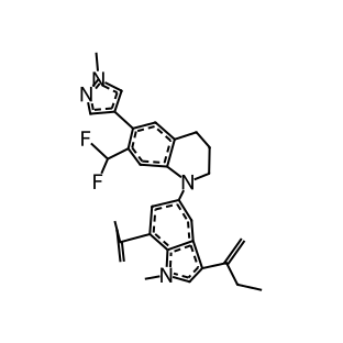 C=C(CC)c1cn(C)c2c(C(=C)C)cc(N3CCCc4cc(-c5cnn(C)c5)c(C(F)F)cc43)cc12